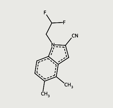 Cc1ccc2c(cc(C#N)n2CC(F)F)c1C